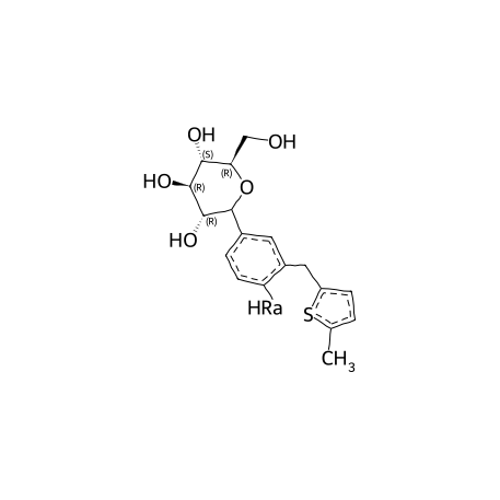 Cc1ccc(Cc2cc(C3O[C@H](CO)[C@@H](O)[C@H](O)[C@H]3O)cc[c]2[RaH])s1